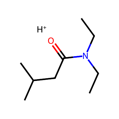 CCN(CC)C(=O)CC(C)C.[H+]